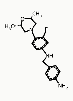 C[C@@H]1CN(c2ccc(NCc3ccc(N)cc3)cc2F)C[C@H](C)O1